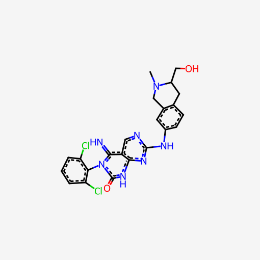 CN1Cc2cc(Nc3ncc4c(=N)n(-c5c(Cl)cccc5Cl)c(=O)[nH]c4n3)ccc2CC1CO